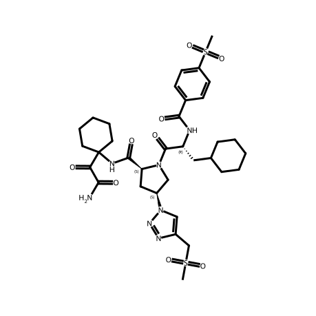 CS(=O)(=O)Cc1cn([C@H]2C[C@@H](C(=O)NC3(C(=O)C(N)=O)CCCCC3)N(C(=O)[C@@H](CC3CCCCC3)NC(=O)c3ccc(S(C)(=O)=O)cc3)C2)nn1